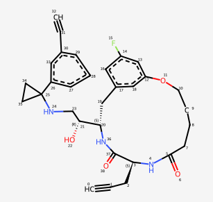 C#CC[C@@H]1NC(=O)CCCCOc2cc(F)cc(c2)C[C@@H]([C@H](O)CNC2(c3cccc(C#C)c3)CC2)NC1=O